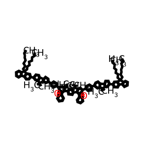 CCCCCCCCC1(CCCCCCCC)c2ccccc2-c2ccc(-c3ccc4c(c3)C(C)(C)c3cc(-c5ccc(-c6cc7c(c8c6oc6ccccc68)-c6ccc8c(c6[Si]7(C)C)[Si](C)(C)c6cc(-c7ccc(-c9ccc%10c(c9)C(C)(C)c9cc(-c%11ccc%12c(c%11)C(CCCCCCCC)(CCCCCCCC)c%11ccccc%11-%12)ccc9-%10)cc7)c7oc9ccccc9c7c6-8)cc5)ccc3-4)cc21